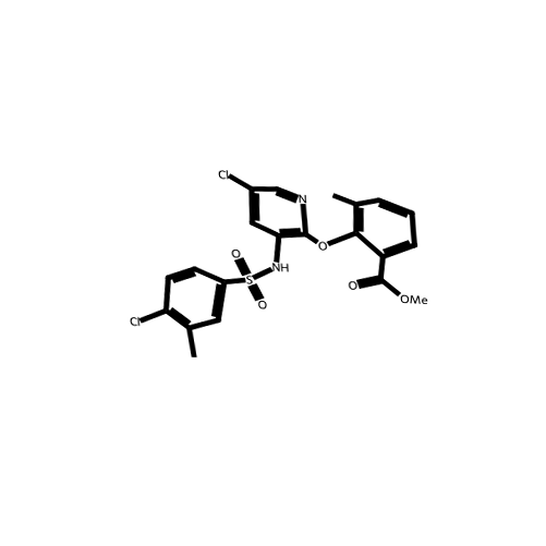 COC(=O)c1cccc(C)c1Oc1ncc(Cl)cc1NS(=O)(=O)c1ccc(Cl)c(C)c1